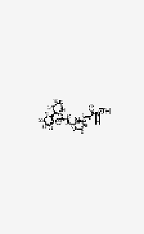 O=C(C=Cc1cccc(C=CC(=O)N2CCCCC2c2ccccc2)n1)NO